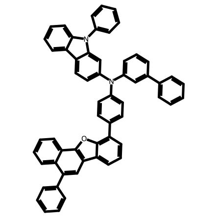 c1ccc(-c2cccc(N(c3ccc(-c4cccc5c4oc4c6ccccc6c(-c6ccccc6)cc54)cc3)c3ccc4c5ccccc5n(-c5ccccc5)c4c3)c2)cc1